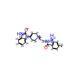 Nc1cc(F)ccc1C(=O)NCCN1CC=C(n2c(=O)[nH]c3ccccc32)CC1